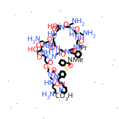 CNC(=O)c1ccccc1Sc1ccc2c(/C=C/c3ccccn3)nn(C(=O)N(CCNC(O)CC[C@H](N)C(=O)O)CCOC(=O)CCC(=O)N[C@H](C(=O)N[C@@H](CCN)C(=O)N[C@H]3CCNC(=O)[C@H]([C@@H](C)O)NC(=O)[C@H](CCN)NC(=O)[C@H](CCN)NC(=O)[C@H](CC(C)C)NC(=O)[C@@H](Cc4ccccc4)NC(=O)[C@H](CCN)NC3=O)[C@@H](C)O)c2c1